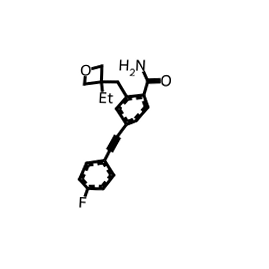 CCC1(Cc2cc(C#Cc3ccc(F)cc3)ccc2C(N)=O)COC1